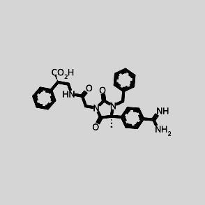 C[C@]1(c2ccc(C(=N)N)cc2)C(=O)N(CC(=O)NC[C@@H](C(=O)O)c2ccccc2)C(=O)N1Cc1ccccc1